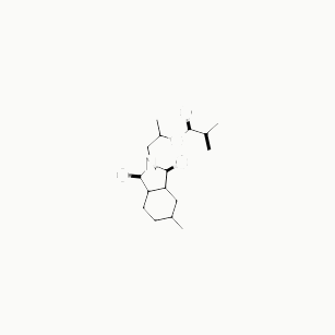 C=C(C)C(=O)OC(C)CN1C(=O)C2CCC(C)CC2C1=O